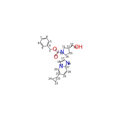 O=C(OCc1ccccc1)N1C[C@@H](CO)C[C@@H]1c1cn2cc(C3CC3)ccc2n1